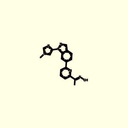 CC(=NO)c1cccc(-c2ccc3cnn(-c4cn(C)cn4)c3c2)n1